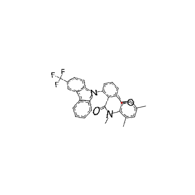 Cc1cc(C)c(N(C)C(=O)c2c(C=O)cccc2-n2c3ccccc3c3cc(C(F)(F)F)ccc32)c(C)c1